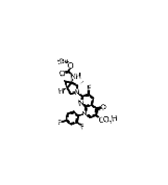 C[C@@H]1N(c2nc3c(cc2F)c(=O)c(C(=O)O)cn3-c2ccc(F)cc2F)C[C@@H]2C[C@@]21NC(=O)OC(C)(C)C